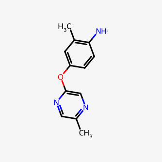 Cc1cnc(Oc2ccc([NH])c(C)c2)cn1